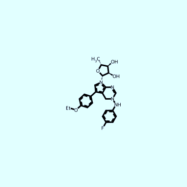 CCOc1ccc(-c2cn([C@@H]3O[C@H](C)[C@@H](O)[C@H]3O)c3c2CN(Nc2ccc(F)cc2)C=N3)cc1